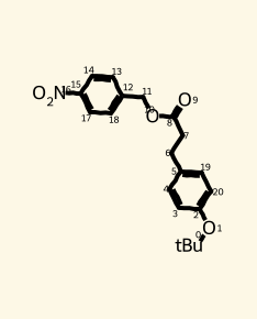 CC(C)(C)Oc1ccc(CCC(=O)OCc2ccc([N+](=O)[O-])cc2)cc1